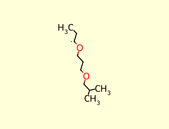 CC[CH]OCCCOCC(C)C